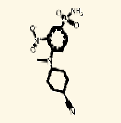 CN(c1ccc(S(N)(=O)=O)cc1[N+](=O)[O-])[C@H]1CC[C@H](C#N)CC1